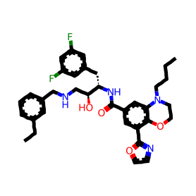 CCCCN1CCOc2c(-c3ncco3)cc(C(=O)N[C@@H](Cc3cc(F)cc(F)c3)[C@@H](O)CNCc3cccc(CC)c3)cc21